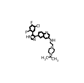 CC(C)N1CCN(CCNc2cnc3ccc(-c4nc[nH]c4-c4cc(Cl)c(F)cc4F)cc3c2)CC1